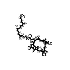 C=C1C2=c3[nH]/c(c(C)c3C(=O)C2)=C\C2=NC(=C\c3[nH]c(c(C)c3C(C)=O)/C=C(\C)[C@@H](C)[C@@H]1CCC(=O)OCC/C=C(\C)CCC[C@H](C)CCC[C@H](C)CCCC(C)C)/C(C)=C2CC